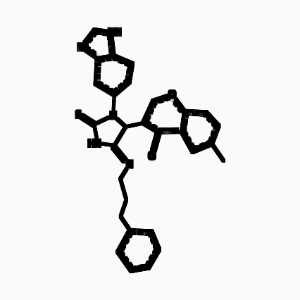 Cc1ccc2occ(C3C(=NCCCc4ccccc4)NC(=S)N3c3ccc4[nH]cnc4c3)c(=O)c2c1